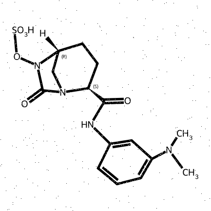 CN(C)c1cccc(NC(=O)[C@@H]2CC[C@@H]3CN2C(=O)N3OS(=O)(=O)O)c1